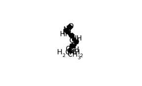 C=C(C(=O)N[C@@H]1CCCN(Cc2ccnc(C(=O)Nc3ccc(-c4cc5c(N6CCOCC6)ncnc5[nH]4)cc3)c2)C1)[C@@H](C)N